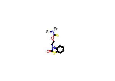 CCN(CC)C(=S)OCCn1c(=O)sc2ccccc21